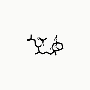 C=C(C)CCC(OC(C)=O)C(C)CCCC1(C)OCC2(OC)CCC1O2